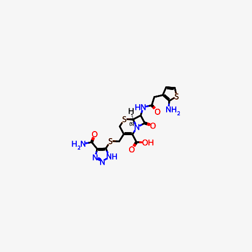 NC(=O)c1nn[nH]c1SCC1=C(C(=O)O)N2C(=O)C(NC(=O)Cc3ccsc3N)[C@@H]2SC1